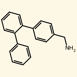 NCc1ccc(-c2ccccc2-c2ccccc2)cc1